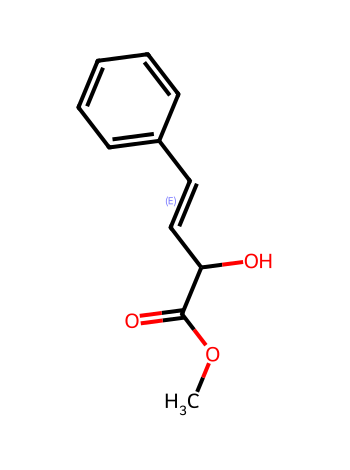 COC(=O)C(O)/C=C/c1ccccc1